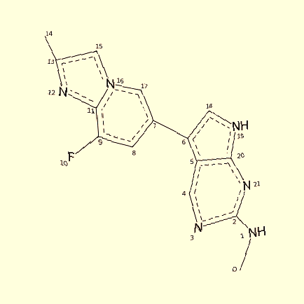 CNc1ncc2c(-c3cc(F)c4nc(C)cn4c3)c[nH]c2n1